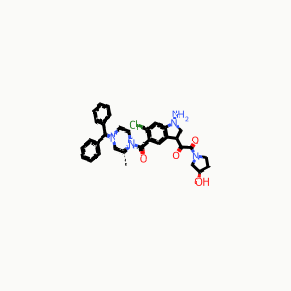 C[C@@H]1CN(C(c2ccccc2)c2ccccc2)CCN1C(=O)c1cc2c(cc1Cl)N(N)CC2C(=O)C(=O)N1CC[C@@H](O)C1